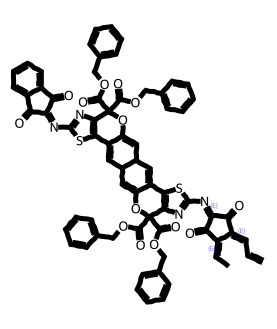 C=C/C=c1/c(=O)/c(=N/c2nc3c(s2)C2=CC4C=C5OC(C(=O)OCc6ccccc6)(C(=O)OCc6ccccc6)c6nc(N=c7c(=O)c8ccccc8c7=O)sc6C5=CC4C=C2OC3(C(=O)OCc2ccccc2)C(=O)OCc2ccccc2)c(=O)/c1=C/C